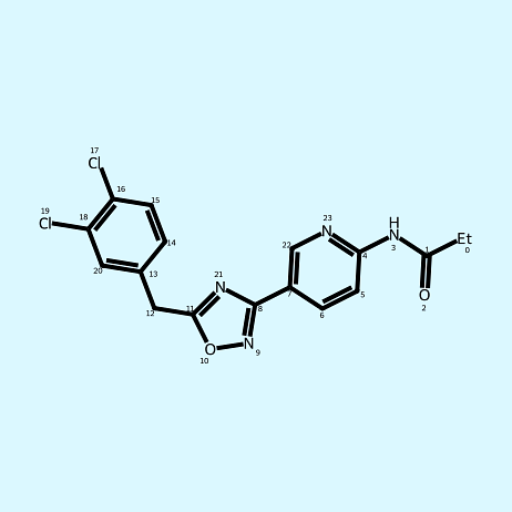 CCC(=O)Nc1ccc(-c2noc(Cc3ccc(Cl)c(Cl)c3)n2)cn1